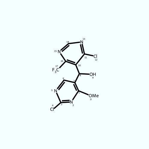 COc1nc(Cl)ncc1C(O)c1c(Cl)ncnc1C(F)(F)F